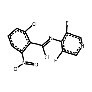 O=[N+]([O-])c1cccc(Cl)c1/C(Cl)=N/c1c(F)cncc1F